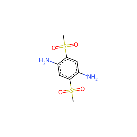 CS(=O)(=O)c1cc(N)c(S(C)(=O)=O)cc1N